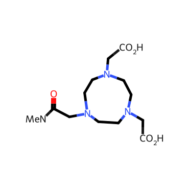 CNC(=O)CN1CCN(CC(=O)O)CCN(CC(=O)O)CC1